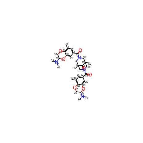 Cc1cc(C(=O)N2CC3(C)CN(C(=O)c4cc(C)c5c(c4)OC(N(C)C)CO5)CC(C)(C2)C3=O)cc2c1OCC(N(C)C)O2